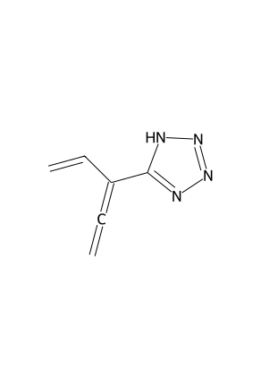 C=C=C(C=C)c1nnn[nH]1